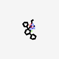 C=CCOC(=O)C1(c2ccccc2)C=CC=C(c2ccccc2)C1(F)n1cncn1